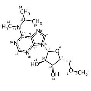 [CH2]OC[C@H]1O[C@@H](n2cnc3c(N(C)C(C)C)ncnc32)[C@H](O)[C@@H]1O